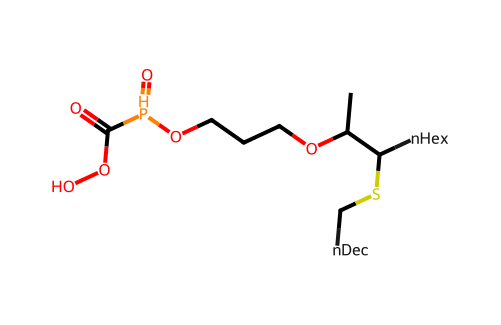 CCCCCCCCCCCSC(CCCCCC)C(C)OCCCO[PH](=O)C(=O)OO